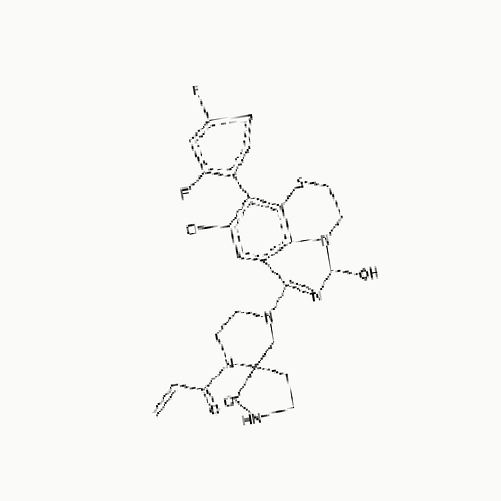 C=CC(=O)N1CCN(C2=NC(O)N3CCSc4c(-c5ccc(F)cc5F)c(Cl)cc2c43)CC12CCNC2=O